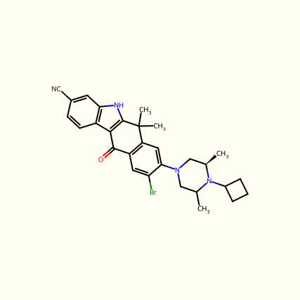 CC1CN(c2cc3c(cc2Br)C(=O)c2c([nH]c4cc(C#N)ccc24)C3(C)C)C[C@@H](C)N1C1CCC1